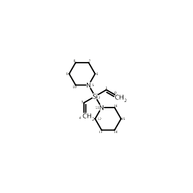 C=C[Si](C=C)(N1CCCCC1)N1CCCCC1